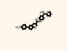 Cc1ccc(-c2ccc3c(c2)C=C(C(=O)Nc2ccc(C(O)c4ccccn4)cc2)CO3)cc1